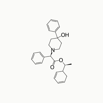 C[C@H](OC(=O)[C@@H](c1ccccc1)N1CCC(O)(c2ccccc2)CC1)C1C=CC=CC1